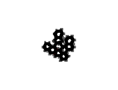 c1ccc2c(-c3nc4ccccc4nc3N3c4c(ccc5ccccc45)-c4cccc5cccc3c45)cccc2c1